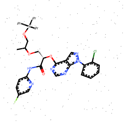 CC(CO[Si](C(C)C)(C(C)C)C(C)C)OC[C@H](Oc1ncnc2c1cnn2-c1ccccc1Cl)C(=O)Nc1ccc(F)cn1